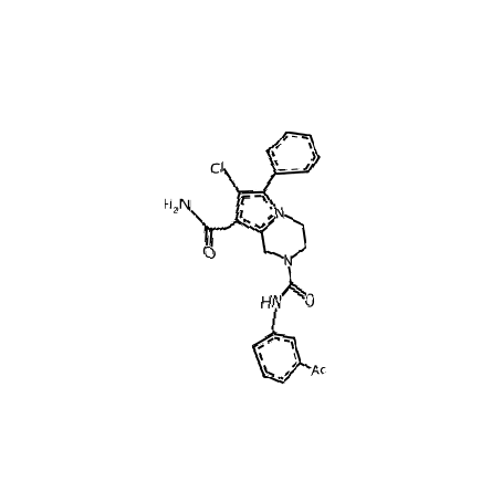 CC(=O)c1cccc(NC(=O)N2CCn3c(c(C(N)=O)c(Cl)c3-c3ccccc3)C2)c1